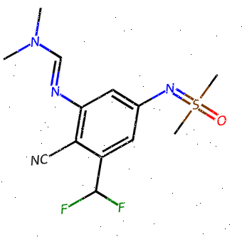 CN(C)C=Nc1cc(N=S(C)(C)=O)cc(C(F)F)c1C#N